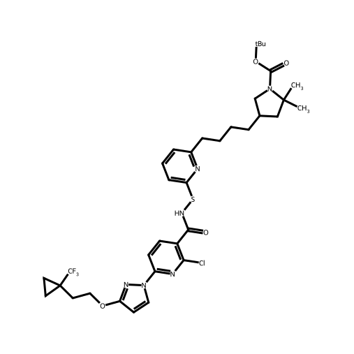 CC(C)(C)OC(=O)N1CC(CCCCc2cccc(SNC(=O)c3ccc(-n4ccc(OCCC5(C(F)(F)F)CC5)n4)nc3Cl)n2)CC1(C)C